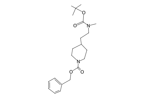 CN(CCC1CCN(C(=O)OCc2ccccc2)CC1)C(=O)OC(C)(C)C